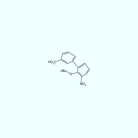 CCCCOc1c(-c2cccc(C(=O)O)c2)cccc1[N+](=O)[O-]